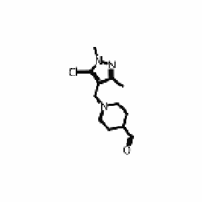 Cc1nn(C)c(Cl)c1CN1CCC(C=O)CC1